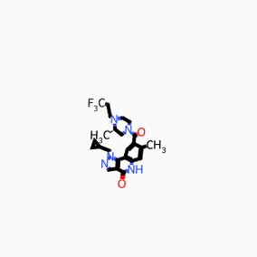 Cc1cc2[nH]c(=O)c3cnn(CC4CC4)c3c2cc1C(=O)N1CCN(CCC(F)(F)F)[C@@H](C)C1